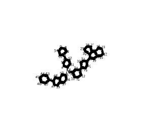 c1ccc(-c2ccc(N(c3cccc(-c4ccc(-c5cc6ccccc6c6ccccc56)cc4)c3)c3ccc4ccc(-c5ccccc5)cc4c3)cc2)cc1